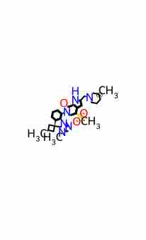 C[C@H]1CCCN(Cc2cc3c(S(C)(=O)=O)cn(-c4cccc([C@]5(c6nncn6C)C[C@@H](C)C5)c4)c(=O)c3[nH]2)C1